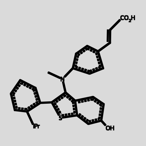 CC(C)c1ccccc1-c1sc2cc(O)ccc2c1N(C)c1ccc(C=CC(=O)O)cc1